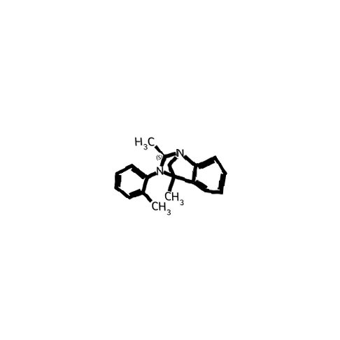 Cc1ccccc1N1[C@@H](C)N2CC1(C)c1ccccc12